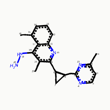 Cc1ccnc(C2CC2c2nc3cccc(C)c3c(NN)c2C)n1